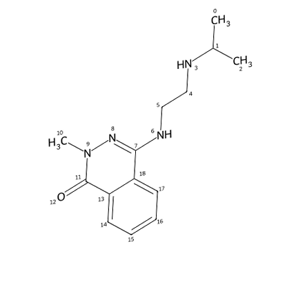 CC(C)NCCNc1nn(C)c(=O)c2ccccc12